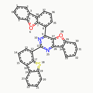 c1ccc2c(c1)oc1c(-c3nc(-c4cccc5c4sc4ccccc45)nc4c3oc3ccccc34)cccc12